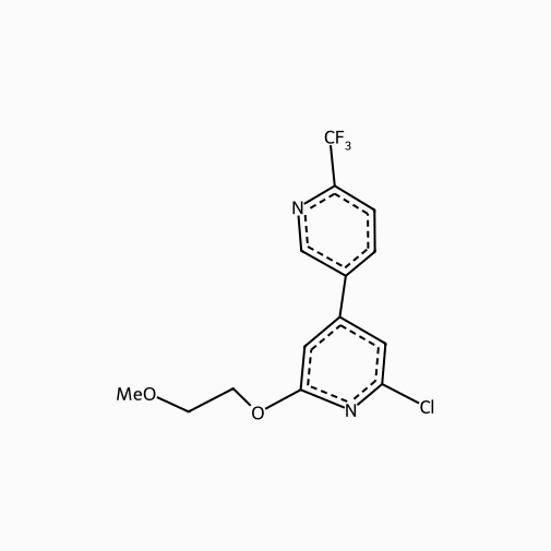 COCCOc1cc(-c2ccc(C(F)(F)F)nc2)cc(Cl)n1